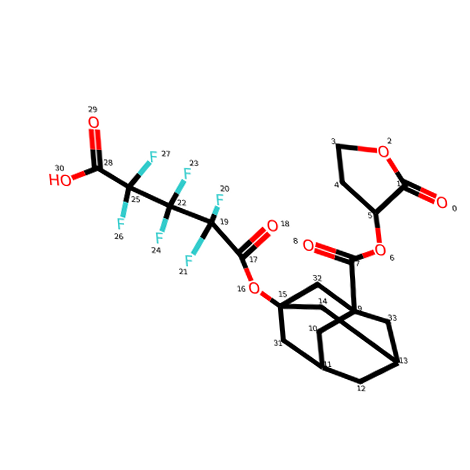 O=C1OCCC1OC(=O)C12CC3CC(CC(OC(=O)C(F)(F)C(F)(F)C(F)(F)C(=O)O)(C3)C1)C2